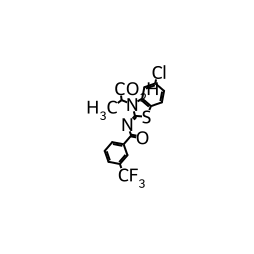 CC(C(=O)O)n1/c(=N/C(=O)c2cccc(C(F)(F)F)c2)sc2ccc(Cl)cc21